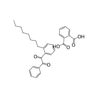 CCCCCCCCc1ccccc1C(=O)C(=O)c1ccccc1.O=C(O)c1ccccc1C(=O)O